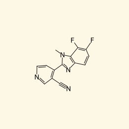 Cn1c(-c2ccncc2C#N)nc2ccc(F)c(F)c21